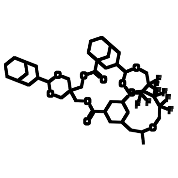 CC1CC2CC(CC(C(=O)OCC3(COC(=O)C45CCCC(CC(C6OCC(F)(F)C(F)(F)CO6)C4)C5)COC(C4CC5CCCC(C5)C4)OC3)C2)OCC(F)(F)C(F)(F)CO1